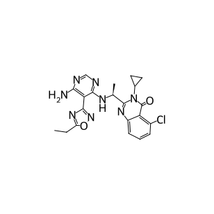 CCc1nc(-c2c(N)ncnc2N[C@@H](C)c2nc3cccc(Cl)c3c(=O)n2C2CC2)no1